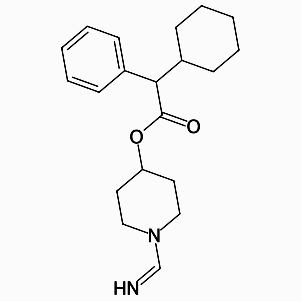 N=CN1CCC(OC(=O)C(c2ccccc2)C2CCCCC2)CC1